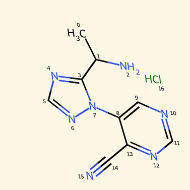 CC(N)c1ncnn1-c1cncnc1C#N.Cl